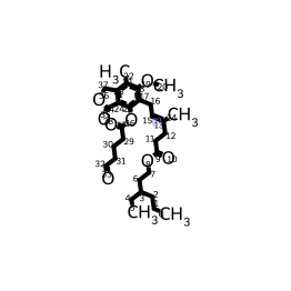 CCCC(CC)CCOC(=O)CC/C(C)=C/Cc1c(OC)c(C)c2c(c1OC(=O)CCCC=O)C(=O)OC2